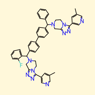 Cc1cncc(-c2nnc3n2CCN(C(c2ccccc2)c2ccc(-c4ccc(C(c5ccccc5F)N5CCn6c(nnc6-c6cncc(C)c6)C5)cc4)cc2)C3)c1